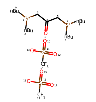 CCCC[S+](CCCC)CC(=O)C[S+](CCCC)CCCC.O=S(=O)([O-])C(F)(F)F.O=S(=O)([O-])C(F)(F)F